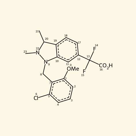 COc1cccc(Cl)c1CN1c2cc(C(F)(F)C(=O)O)ccc2C(C)N1C